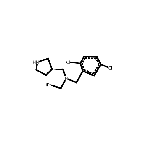 CC(C)CN(Cc1cc(Cl)ccc1Cl)C[C@H]1CCNC1